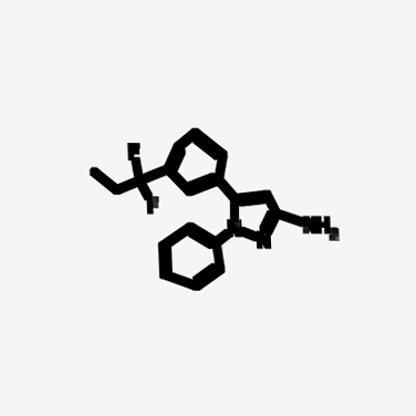 CCC(F)(F)c1cccc(-c2cc(N)nn2-c2ccccc2)c1